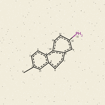 Cc1ccc2c(ccc3cc(P)ccc32)c1